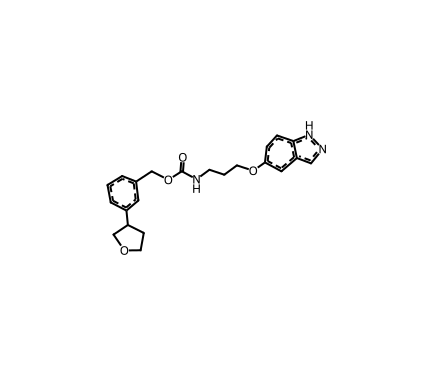 O=C(NCCCOc1ccc2[nH]ncc2c1)OCc1cccc(C2CCOC2)c1